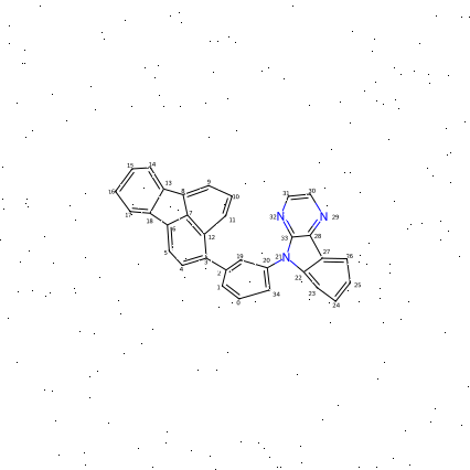 c1cc(-c2ccc3c4c(cccc24)-c2ccccc2-3)cc(-n2c3ccccc3c3nccnc32)c1